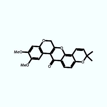 COc1cc2c(cc1OC)-c1c(oc3c4c(ccc3c1=O)OC(C)(C)C=C4)CO2